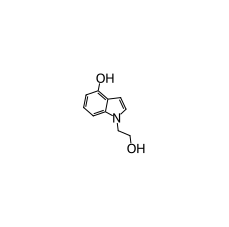 OCCn1ccc2c(O)cccc21